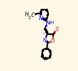 Cc1cccc(N/C=C2/N=C(c3ccccc3)OC2=O)n1